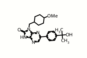 COC1CCC(Cn2c(=O)[nH]c3ncc(-c4ccc(C(C)(C)O)cc4)nc32)CC1